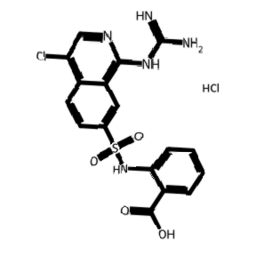 Cl.N=C(N)Nc1ncc(Cl)c2ccc(S(=O)(=O)Nc3ccccc3C(=O)O)cc12